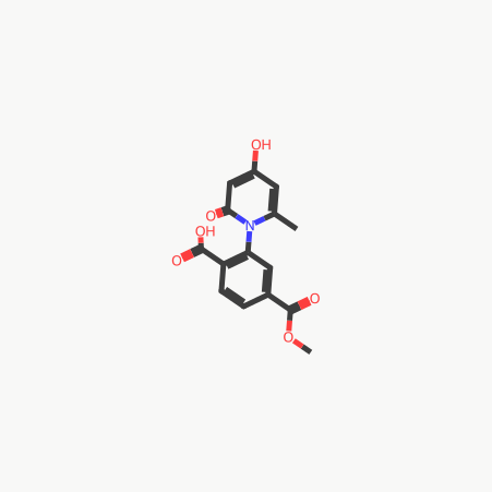 COC(=O)c1ccc(C(=O)O)c(-n2c(C)cc(O)cc2=O)c1